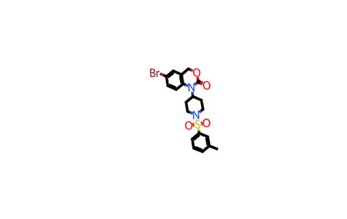 Cc1cccc(S(=O)(=O)N2CCC(N3C(=O)OCc4cc(Br)ccc43)CC2)c1